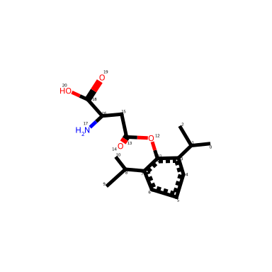 CC(C)c1cccc(C(C)C)c1OC(=O)CC(N)C(=O)O